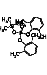 Cc1cccc(C)c1OP(=O)(Oc1c(C)cccc1C)O[Si](C)(C)C